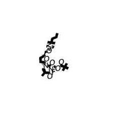 CCCC(C)(C)[Si](C)(C)OC[C@@H]1CC[C@H](N2C=C(C)C(=O)[N+](F)(COC(=O)C(C)(C)C)C2=O)O1